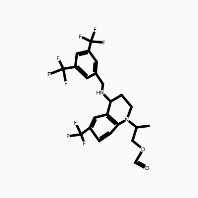 CC(COC=O)N1CCC(NCc2cc(C(F)(F)F)cc(C(F)(F)F)c2)c2cc(C(F)(F)F)ccc21